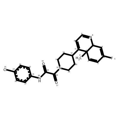 CC12C=CC(F)=CC1N=CC=C2C1CCN(C(=O)C(=O)Nc2ccc(Cl)cc2)CC1